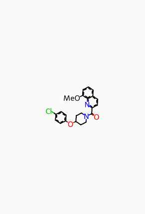 COc1cccc2ccc(C(=O)N3CCC(Oc4ccc(Cl)cc4)CC3)nc12